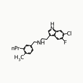 CCCc1cc(CNCCc2c[nH]c3cc(Cl)c(F)cc23)ccc1C